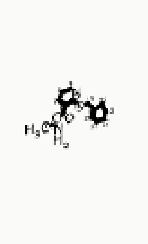 CC(N)OC(=O)c1cccnc1SCc1ccccc1